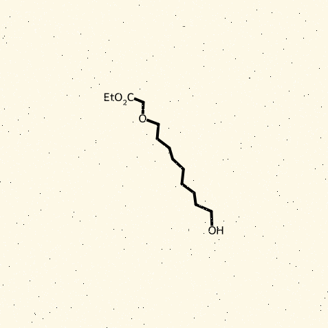 CCOC(=O)COCCCCCCCCCO